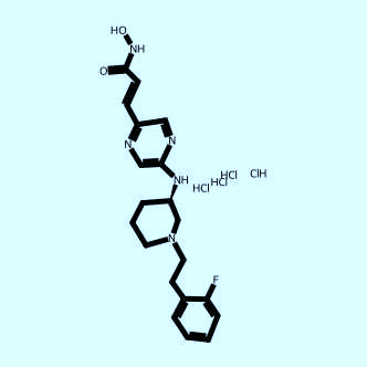 Cl.Cl.Cl.Cl.O=C(C=Cc1cnc(N[C@@H]2CCCN(CCc3ccccc3F)C2)cn1)NO